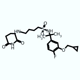 CC(C)(NS(=O)(=O)CCCCNC1CCC(=O)NC1=O)c1ccc(F)c(OCC2CC2)c1